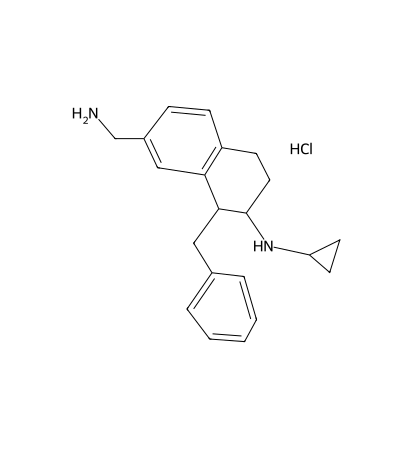 Cl.NCc1ccc2c(c1)C(Cc1ccccc1)C(NC1CC1)CC2